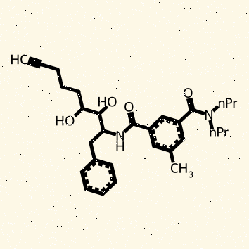 C#CCCCC(O)C(O)C(Cc1ccccc1)NC(=O)c1cc(C)cc(C(=O)N(CCC)CCC)c1